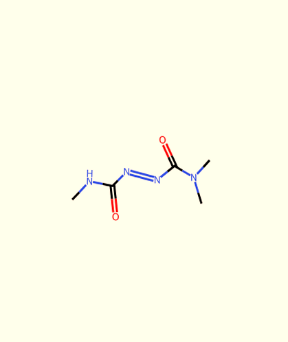 CNC(=O)/N=N/C(=O)N(C)C